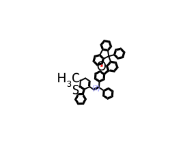 CC1CC=C(/C=C(/c2ccccc2)c2ccc3oc4c(C5(c6ccccc6)c6ccccc6-c6ccccc65)cccc4c3c2)c2c1sc1ccccc21